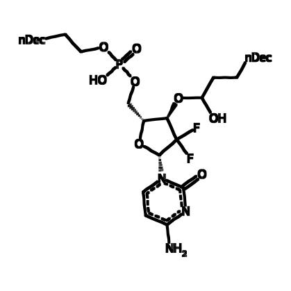 CCCCCCCCCCCCOP(=O)(O)OC[C@H]1O[C@@H](n2ccc(N)nc2=O)C(F)(F)[C@@H]1OC(O)CCCCCCCCCCCC